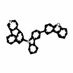 c1cc2c3c(cc(-n4c5ccccc5c5cc(-c6ccc7oc8ccccc8c7c6)ccc54)cc3c1)-c1ccncc1-2